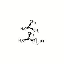 Br.CN(C)C.CN(C)C.Cl